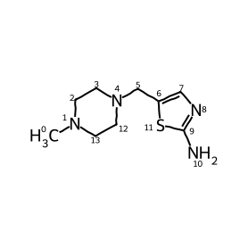 CN1CCN(Cc2cnc(N)s2)CC1